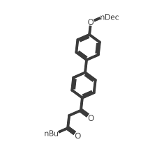 CCCCCCCCCCOc1ccc(-c2ccc(C(=O)CC(=O)CCCC)cc2)cc1